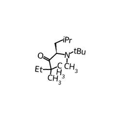 CCC(C)(C)C(=O)[C@@H](CC(C)C)N(C)C(C)(C)C